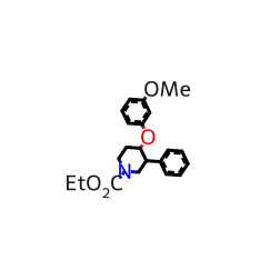 CCOC(=O)N1CCC(Oc2cccc(OC)c2)C(c2ccccc2)C1